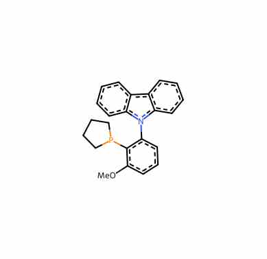 COc1cccc(-n2c3ccccc3c3ccccc32)c1P1CCCC1